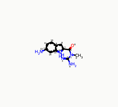 CN(C(=N)N)C(=O)c1cc2ccc(N)cc2[nH]1